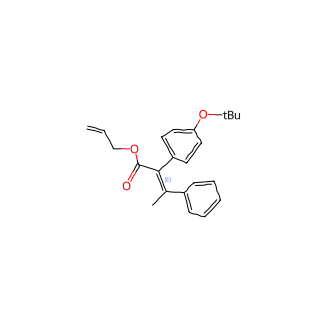 C=CCOC(=O)/C(=C(\C)c1ccccc1)c1ccc(OC(C)(C)C)cc1